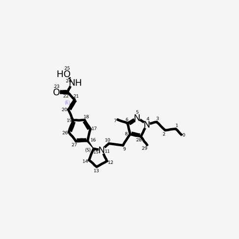 CCCCn1nc(C)c(CCN2CCC[C@H]2c2ccc(/C=C/C(=O)NO)cc2)c1C